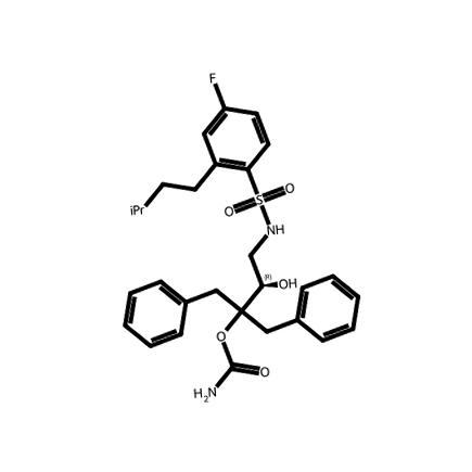 CC(C)CCc1cc(F)ccc1S(=O)(=O)NC[C@@H](O)C(Cc1ccccc1)(Cc1ccccc1)OC(N)=O